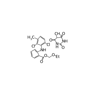 CC1C(=O)NC(=O)NC1=O.CCOCOC(=O)c1ccccc1Nc1c(Cl)ccc(C)c1Cl